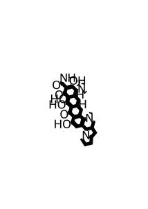 CN1CC2CC3CCCN3C2c2cc(O)c3c(c21)C[C@@H]1C[C@@H]2[C@@H](N(C)C)C(O)=C(C(N)=O)C(=O)[C@@]2(O)C(O)=C1C3=O